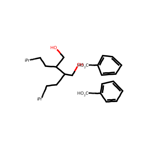 CC(C)CCC(CO)C(CO)CCC(C)C.O=C(O)c1ccccc1.O=C(O)c1ccccc1